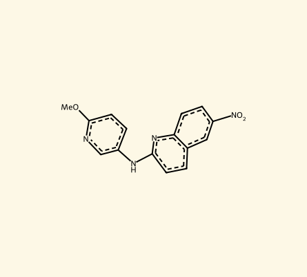 COc1ccc(Nc2ccc3cc([N+](=O)[O-])ccc3n2)cn1